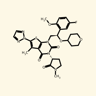 COc1ccc(F)cc1[C@H](Cn1c(=O)n([C@@H]2CCN(C)C2=O)c(=O)c2c(C)c(-n3nccn3)sc21)OC1CCOCC1